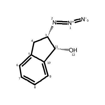 [N-]=[N+]=N[C@H]1Cc2ccccc2[C@H]1O